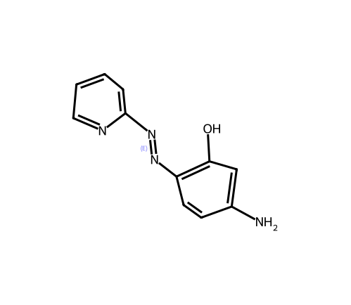 Nc1ccc(/N=N/c2ccccn2)c(O)c1